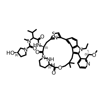 CCn1c(-c2cccnc2[C@H](C)OC)c2c3cc(ccc31)-c1csc(n1)C[C@H](NC(=O)C(C(C)C)N(C)C(=O)N1CC[C@@H](O)C1)C(=O)N1CCC[C@H](N1)C(=O)OCC(C)(C)C2